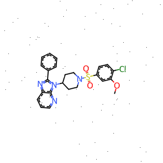 COc1cc(S(=O)(=O)N2CCC(n3c(-c4ccccc4)nc4cccnc43)CC2)ccc1Cl